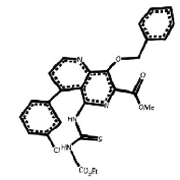 CCOC(=O)NC(=S)Nc1nc(C(=O)OC)c(OCc2ccccc2)c2nccc(-c3cccc(Cl)c3)c12